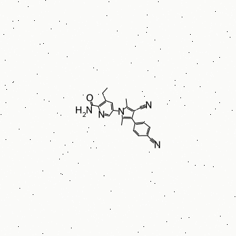 CCc1cc(-n2c(C)c(C#N)c(-c3ccc(C#N)cc3)c2C)cnc1C(N)=O